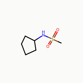 CS(=O)(=O)NC1CCCC1